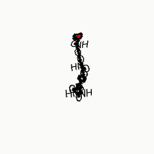 N=C1C(=O)NC(=O)c2cc(-c3ccc(OCC(=O)NCCOCCOCCNC(=O)CC45CC6CC(CC(C6)C4)C5)cc3)sc21